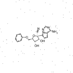 N#C[C@@]1(c2ccc3c(N)ncnn23)O[C@H](COc2ccccc2)[C@@H](O)[C@H]1O